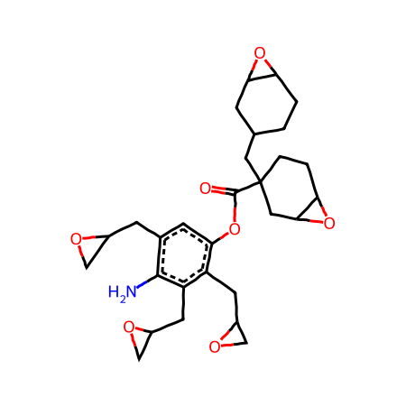 Nc1c(CC2CO2)cc(OC(=O)C2(CC3CCC4OC4C3)CCC3OC3C2)c(CC2CO2)c1CC1CO1